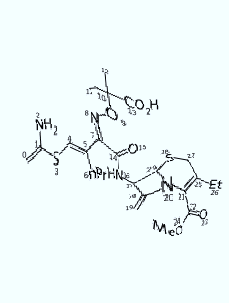 C=C(N)S/C=C(CCC)/C(=N/OC(C)(C)C(=O)O)C(=O)NC1C(=C)N2C(C(=O)OC)=C(CC)CSC12